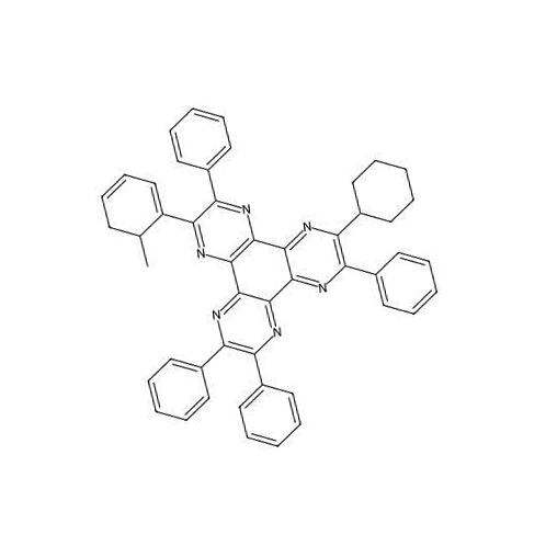 CC1CC=CC=C1c1nc2c(nc1-c1ccccc1)c1nc(C3CCCCC3)c(-c3ccccc3)nc1c1nc(-c3ccccc3)c(-c3ccccc3)nc21